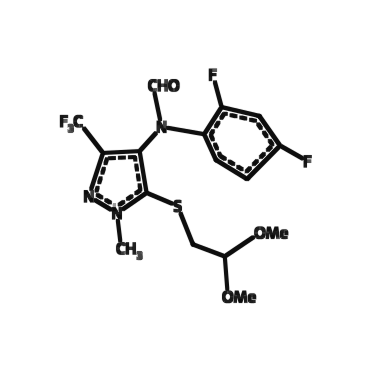 COC(CSc1c(N(C=O)c2ccc(F)cc2F)c(C(F)(F)F)nn1C)OC